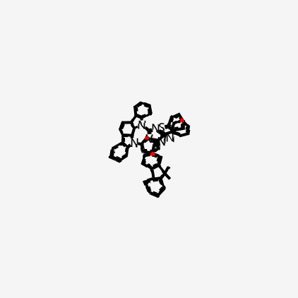 CC1(C)c2ccccc2-c2ccc(-c3nc(C4=CC=CCC4)nc(N4c5ccccc5C5C=Cc6c(n(-c7cccc(-c8nc9ccccc9s8)c7)c7ccccc67)C54)n3)cc21